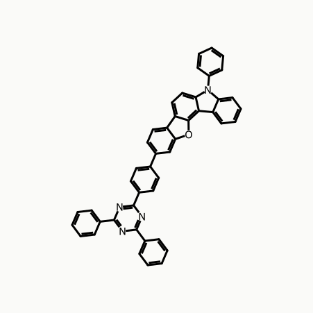 c1ccc(-c2nc(-c3ccccc3)nc(-c3ccc(-c4ccc5c(c4)oc4c5ccc5c4c4ccccc4n5-c4ccccc4)cc3)n2)cc1